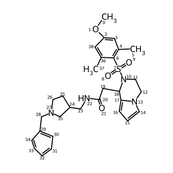 COc1cc(C)c(S(=O)(=O)N2CCn3cccc3C2CC(=O)NCC2CCN(Cc3ccccc3)C2)c(C)c1